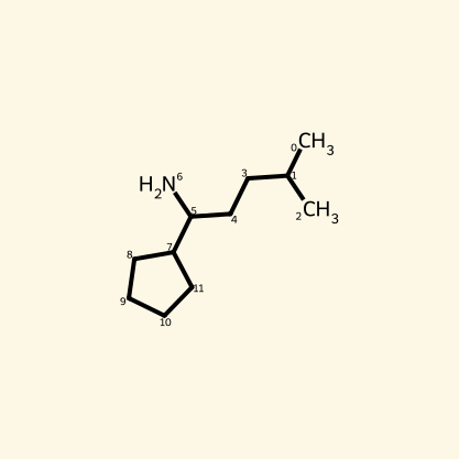 CC(C)CCC(N)C1CCCC1